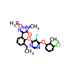 CCc1cccc(C(=NOC)C(=O)NC)c1Oc1ncnc(Oc2cccc(Cl)c2C)c1F